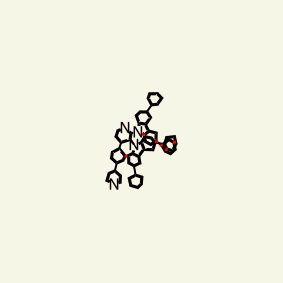 c1ccc(-c2ccc3c(c2)c2cc(-c4ccccc4)ccc2n3-c2nccc(-c3ccc(-c4ccncc4)cc3)c2-n2c3ccc(-c4ccccc4)cc3c3cc(-c4ccccc4)ccc32)cc1